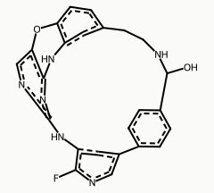 OC1NCCc2ccc3c(c2)Nc2nc(ncc2O3)Nc2cc(cnc2F)-c2ccc1cc2